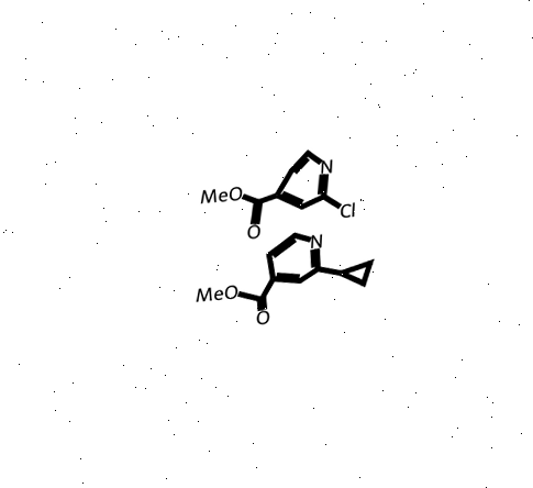 COC(=O)c1ccnc(C2CC2)c1.COC(=O)c1ccnc(Cl)c1